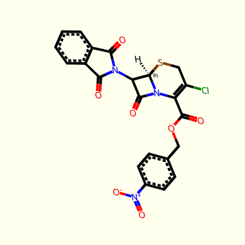 O=C(OCc1ccc([N+](=O)[O-])cc1)C1=C(Cl)CS[C@@H]2C(N3C(=O)c4ccccc4C3=O)C(=O)N12